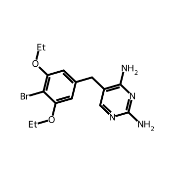 CCOc1cc(Cc2cnc(N)nc2N)cc(OCC)c1Br